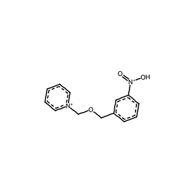 O=[N+](O)c1cccc(COC[n+]2ccccc2)c1